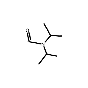 C[C](C)N([C]=O)[C](C)C